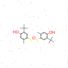 Cc1cc(O)c(C(C)(C)C)cc1SOSc1cc(C(C)(C)C)c(O)cc1C